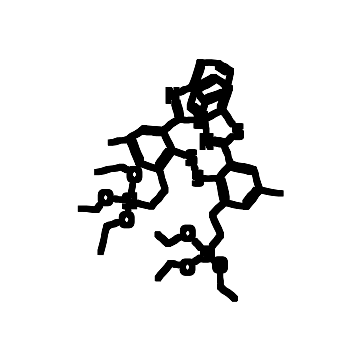 CCO[Si](CCc1cc(C)cc(-c2nc3ccccc3s2)c1SSc1c(CC[Si](OCC)(OCC)OCC)cc(C)cc1-c1nc2ccccc2s1)(OCC)OCC